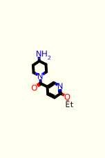 CCOc1ccc(C(=O)N2CCC(N)CC2)cn1